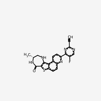 C#Cc1ncc(F)c(-c2ccc3c(ccc4sc5c(c43)NC[C@@H](C)NC5=O)n2)n1